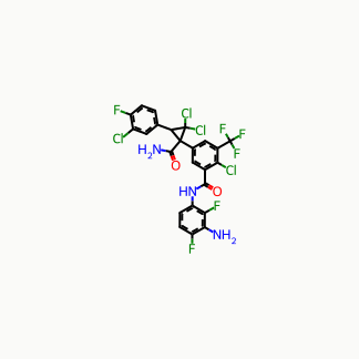 NC(=O)C1(c2cc(C(=O)Nc3ccc(F)c(N)c3F)c(Cl)c(C(F)(F)F)c2)C(c2ccc(F)c(Cl)c2)C1(Cl)Cl